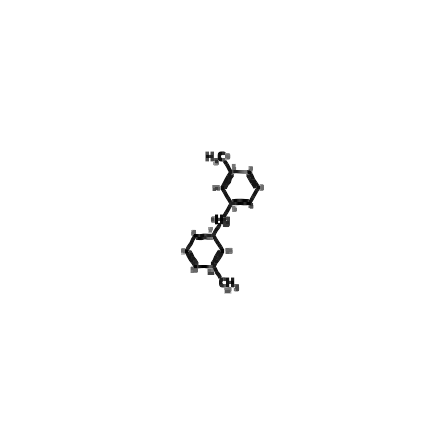 Cc1ccc[c]([Hg][c]2cccc(C)c2)c1